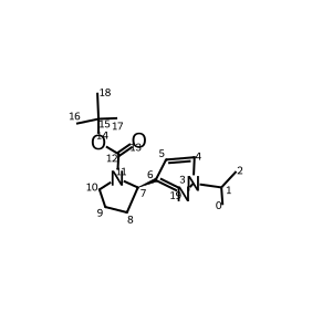 CC(C)n1ccc([C@H]2CCCN2C(=O)OC(C)(C)C)n1